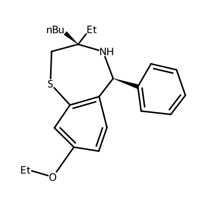 CCCC[C@]1(CC)CSc2cc(OCC)ccc2[C@H](c2ccccc2)N1